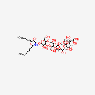 CCCCCCCCCCCCC/C=C/[C@@H](O)[C@H](CO[C@@H]1OC(CO)[C@@H](O[C@@H]2OC(CO)[C@H](O)[C@H](O[C@]3(OC=O)C[C@@H](O)[C@@H](C)C([C@H](O)[C@@H](CO)O[C@]4(OC=O)C[C@@H](O)[C@@H](C)C([C@H](O)[C@H](O)CO)O4)O3)C2O)[C@H](O)C1O)NC(=O)CCCCCCCCCCCCCCC